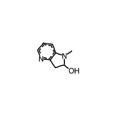 CN1c2cccnc2CC1O